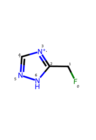 FCC1=[N+][C]=NN1